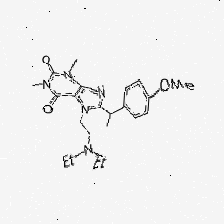 CCN(CC)CCn1c(C(C)c2ccc(OC)cc2)nc2c1c(=O)n(C)c(=O)n2C